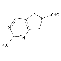 Cc1ncc2c(n1)CN(C=O)C2